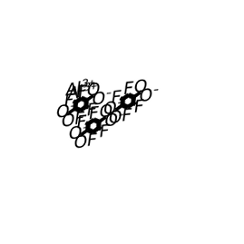 O=C([O-])c1c(F)c(F)c(C(=O)[O-])c(F)c1F.O=C([O-])c1c(F)c(F)c(C(=O)[O-])c(F)c1F.O=C([O-])c1c(F)c(F)c(C(=O)[O-])c(F)c1F.[Al+3].[Al+3]